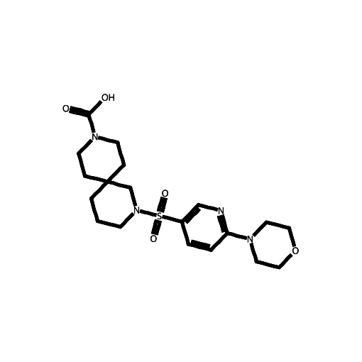 O=C(O)N1CCC2(CCCN(S(=O)(=O)c3ccc(N4CCOCC4)nc3)C2)CC1